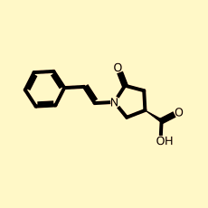 O=C(O)[C@@H]1CC(=O)N(C=Cc2ccccc2)C1